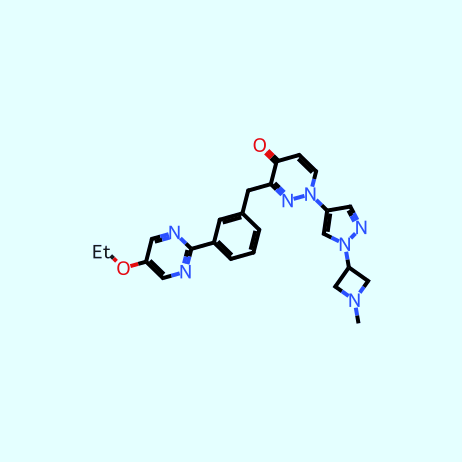 CCOc1cnc(-c2cccc(Cc3nn(-c4cnn(C5CN(C)C5)c4)ccc3=O)c2)nc1